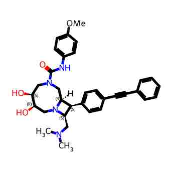 COc1ccc(NC(=O)N2C[C@H](O)[C@H](O)CN3[C@H](CN(C)C)[C@H](c4ccc(C#Cc5ccccc5)cc4)[C@@H]3C2)cc1